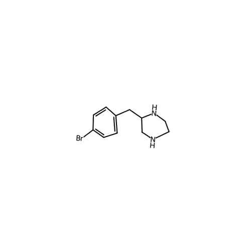 Brc1ccc(CC2CNCCN2)cc1